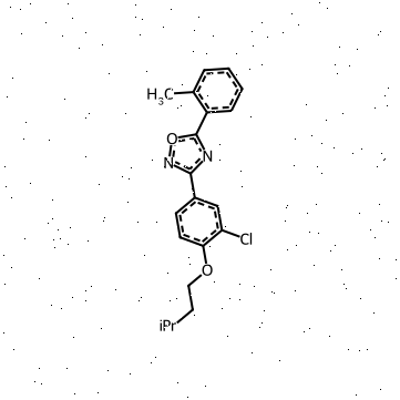 Cc1ccccc1-c1nc(-c2ccc(OCCC(C)C)c(Cl)c2)no1